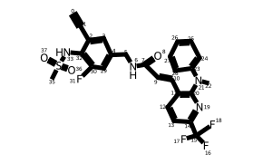 C#Cc1cc(CNC(=O)C=Cc2ccc(C(F)(F)F)nc2N(C)c2ccccc2)cc(F)c1NS(C)(=O)=O